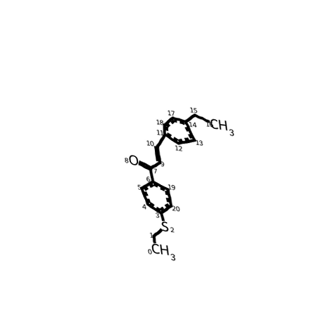 CCSc1ccc(C(=O)C=Cc2ccc(CC)cc2)cc1